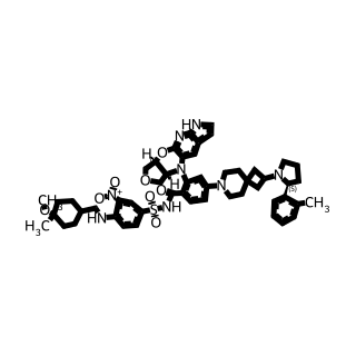 COC1(C)CCC(CNc2ccc(S(=O)(=O)NC(=O)c3ccc(N4CCC5(CC4)CC(N4CCC[C@H]4c4ccccc4C)C5)cc3N3c4cc5cc[nH]c5nc4O[C@@H]4COC[C@H]43)cc2[N+](=O)[O-])CC1